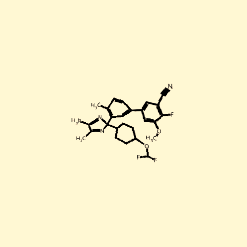 COc1cc(-c2ccc(C)c(C3(C4CCC(OC(F)F)CC4)N=C(C)C(N)=N3)c2)cc(C#N)c1F